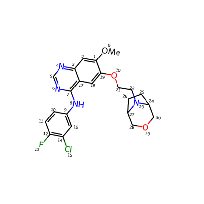 COc1cc2ncnc(Nc3ccc(F)c(Cl)c3)c2cc1OCCN1C2CCC1COC2